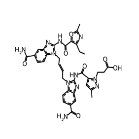 CCc1nc(C)oc1C(=O)Nc1nc2cc(C(N)=O)ccc2n1CC=CCn1c(NC(=O)c2cc(C)nn2CCC(=O)O)nc2cc(C(N)=O)ccc21